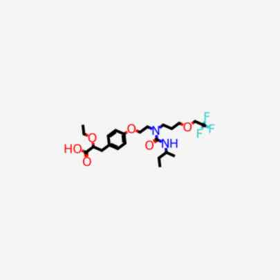 CCOC(Cc1ccc(OCCN(CCCOCC(F)(F)F)C(=O)NC(C)CC)cc1)C(=O)O